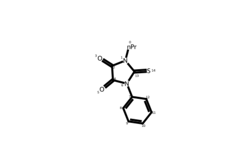 CCCN1C(=O)C(=O)N(c2ccccc2)C1=S